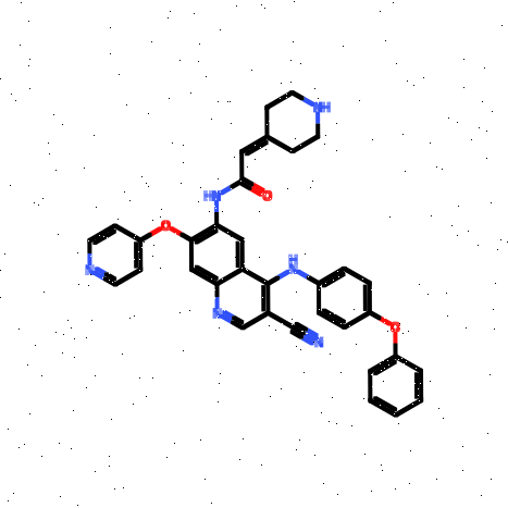 N#Cc1cnc2cc(Oc3ccncc3)c(NC(=O)C=C3CCNCC3)cc2c1Nc1ccc(Oc2ccccc2)cc1